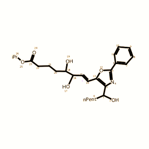 CCCCCC(O)c1nc(-c2ccccc2)oc1/C=C/C(O)C(O)CCCC(=O)OC(C)C